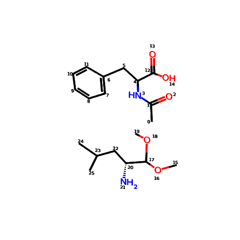 CC(=O)NC(Cc1ccccc1)C(=O)O.COC(OC)[C@H](N)CC(C)C